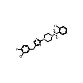 O=S(=O)(c1ccccc1Cl)N1CCN(c2nc(Cc3ccc(F)c(Cl)c3)cs2)CC1